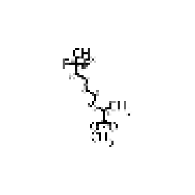 COC(=O)C(C)SCCCCC(C)(F)F